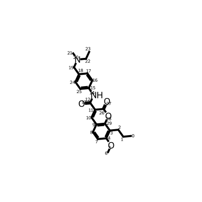 CCCc1c(OC)ccc2cc(C(=O)Nc3ccc(CN(C)CC)cc3)c(=O)oc12